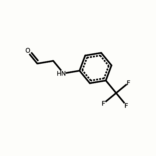 O=CCNc1cccc(C(F)(F)F)c1